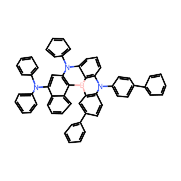 c1ccc(-c2ccc(N3c4ccc(-c5ccccc5)cc4B4c5c3cccc5N(c3ccccc3)c3cc(N(c5ccccc5)c5ccccc5)c5ccccc5c34)cc2)cc1